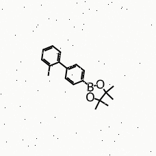 Cc1ccccc1-c1ccc(B2OC(C)(C)C(C)(C)O2)cc1